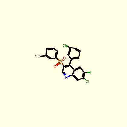 N#Cc1cccc(S(=O)(=O)c2cnc3cc(Cl)c(F)cc3c2-c2cccc(Cl)c2)c1